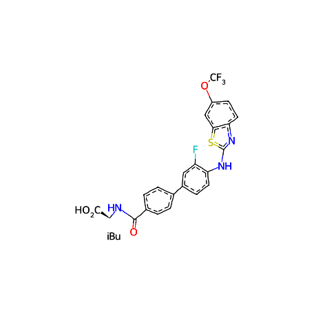 CC[C@H](C)[C@H](NC(=O)c1ccc(-c2ccc(Nc3nc4ccc(OC(F)(F)F)cc4s3)c(F)c2)cc1)C(=O)O